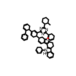 CC1CCCCC1c1nc(C2=CC=CCC2)nc(C2=CC(C3CC=CC=C3c3ccccc3)=CCC2C2C=Cc3c(sc4c3C3=C(CC4)C4=CC=CC[C@H]4N3C3=CC=CCC3)C2)n1